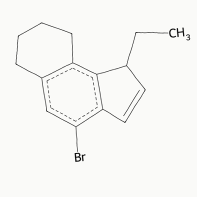 CCC1C=Cc2c(Br)cc3c(c21)CCCC3